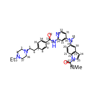 CCN1CCN(CCc2ccc(C(=O)Nc3cc(N(C)c4ccc5c(ccn5C(=O)NC)c4)ccn3)cc2)CC1